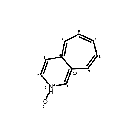 [O-][NH+]1C=CC2=CC=CC=CC2=C1